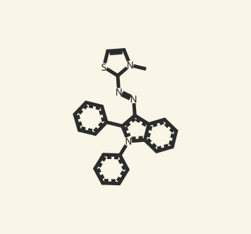 CN1C=CSC1N=Nc1c(-c2ccccc2)n(-c2ccccc2)c2ccccc12